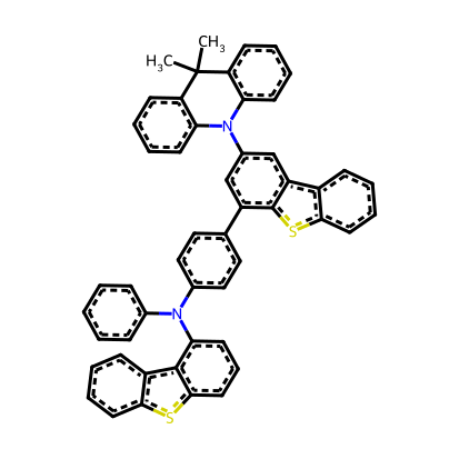 CC1(C)c2ccccc2N(c2cc(-c3ccc(N(c4ccccc4)c4cccc5sc6ccccc6c45)cc3)c3sc4ccccc4c3c2)c2ccccc21